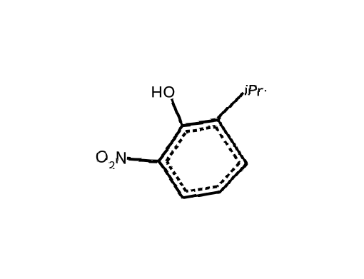 C[C](C)c1cccc([N+](=O)[O-])c1O